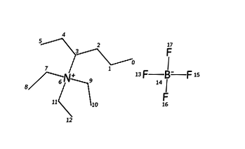 CCCC(CC)[N+](CC)(CC)CC.F[B-](F)(F)F